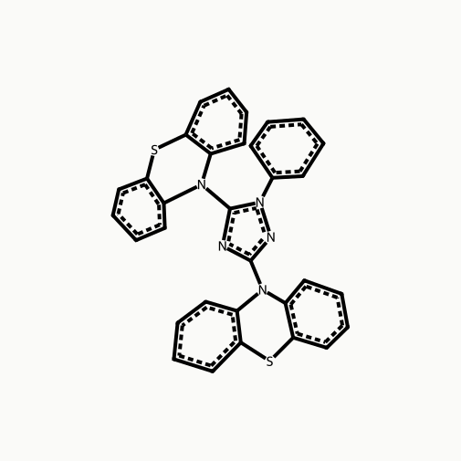 c1ccc(-n2nc(N3c4ccccc4Sc4ccccc43)nc2N2c3ccccc3Sc3ccccc32)cc1